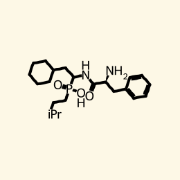 CC(C)CCP(=O)(O)C(CC1CCCCC1)NC(=O)[C@@H](N)Cc1ccccc1